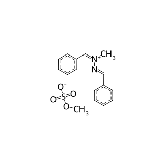 COS(=O)(=O)[O-].C[N+](=Cc1ccccc1)N=Cc1ccccc1